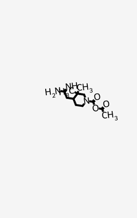 CC(=O)OC(=O)N1CCC(CC(=N)N)C(C)(C)C1